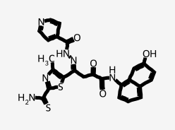 Cc1nc(C(N)=S)sc1C(CC(=O)C(=O)Nc1cccc2ccc(O)cc12)=NNC(=O)c1ccncc1